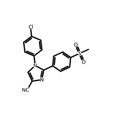 CS(=O)(=O)c1ccc(-c2nc(C#N)cn2-c2ccc(Cl)cc2)cc1